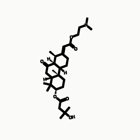 C[C@H]1/C(=C/C(=O)OCCN(C)C)CC[C@H]2[C@H]1C(=O)C[C@H]1C(C)(C)[C@@H](OC(=O)CC(C)(C)O)CC[C@]21C